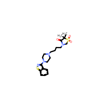 CC1(C)C(=O)N(CCCCN2CCN(c3nsc4ccccc34)CC2)CS1(=O)=O